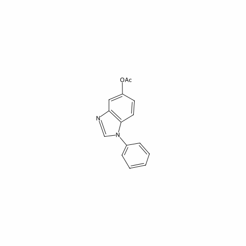 CC(=O)Oc1ccc2c(c1)ncn2-c1ccccc1